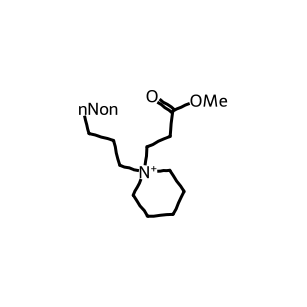 CCCCCCCCCCCC[N+]1(CCC(=O)OC)CCCCC1